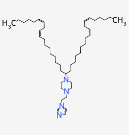 CCCCC/C=C\C/C=C\CCCCCCCCC(CCCCCCCC/C=C\C/C=C\CCCCC)N1CCN(CCn2ccnc2)CC1